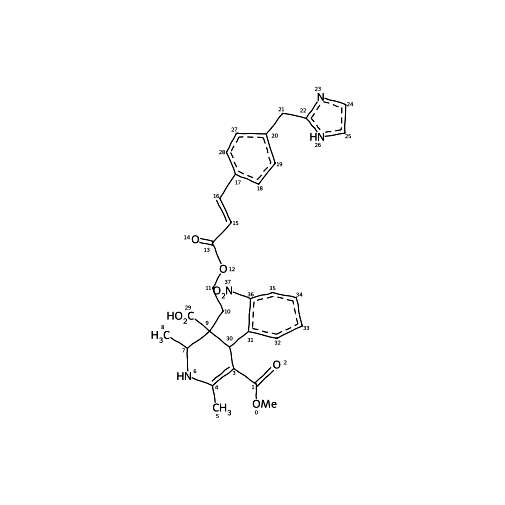 COC(=O)C1=C(C)NC(C)C(CCOC(=O)C=Cc2ccc(Cc3ncc[nH]3)cc2)(C(=O)O)C1c1ccccc1[N+](=O)[O-]